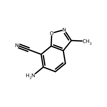 Cc1noc2c(C#N)c(N)ccc12